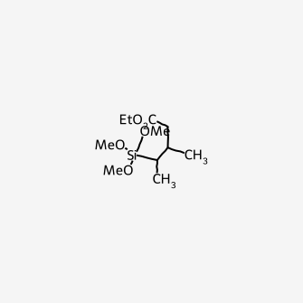 CCOC(=O)CC(C)C(C)[Si](OC)(OC)OC